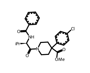 COC(=O)C1(c2ccc(Cl)cc2)CCN(C(=O)[C@H](NC(=O)c2ccccc2)C(C)C)CC1